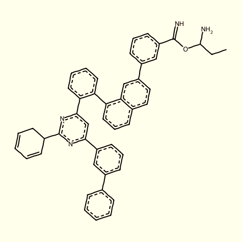 CCC(N)OC(=N)c1cccc(-c2ccc3cccc(-c4ccccc4-c4cc(-c5cccc(-c6ccccc6)c5)nc(C5C=CC=CC5)n4)c3c2)c1